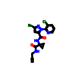 C#CCNC(=O)C1(NC(=O)c2cc(Br)nn2-c2ncccc2Cl)CC1